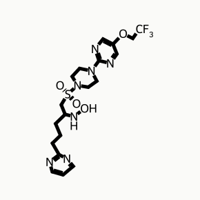 O=S(=O)(CC(CCCc1ncccn1)NO)N1CCN(c2ncc(OCC(F)(F)F)cn2)CC1